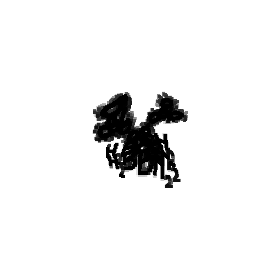 Bc1c(B)c(B)c(-n2c3ccc(-c4ccc5c(c4)c4ccccc4n5-c4ccccc4)cc3c3cc(-c4ccc5c(c4)c4ccccc4n5-c4ccccc4)ccc32)c(B)c1B